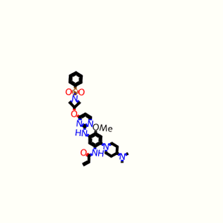 C=CC(=O)Nc1cc(Nc2nccc(OC3CN(S(=O)(=O)c4ccccc4)C3)n2)c(OC)cc1N1CCC(N(C)C)CC1